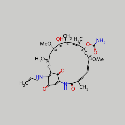 C=CCNC1=C2C[C@@H](C)C[C@H](OC)[C@H](O)[C@@H](C)C=C(C)[C@H](OC(N)=O)C[C@@H](OC)C=CC=C(C)C(=O)NC(=CC1=O)C2=O